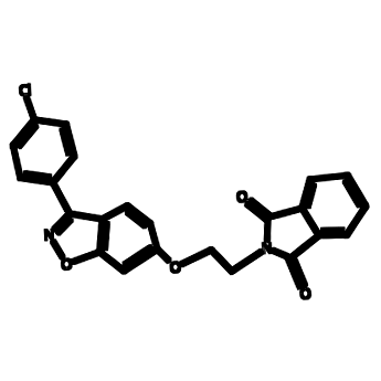 O=C1c2ccccc2C(=O)N1CCOc1ccc2c(-c3ccc(Cl)cc3)noc2c1